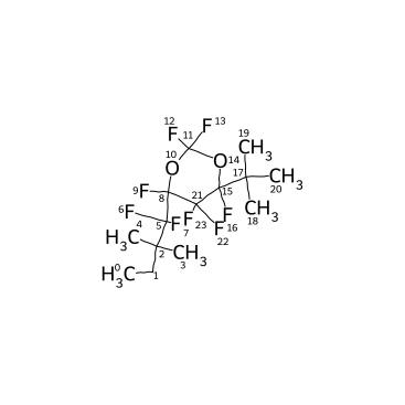 CCC(C)(C)C(F)(F)C1(F)OC(F)(F)OC(F)(C(C)(C)C)C1(F)F